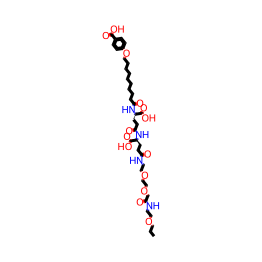 CCCOCCNC(=O)COCCOCCNC(=O)CC[C@H](NC(=O)CC[C@H](NC(=O)CCCCCCCCCOc1ccc(C(=O)O)cc1)C(=O)O)C(=O)O